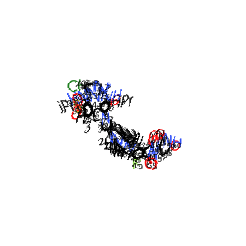 [2H]C1([2H])N(CC2CCN(c3cc(OC(C)C)c(Nc4ncc(Cl)c(Nc5ccccc5S(=O)(=O)C(C)C)n4)cc3C)CC2)C([2H])([2H])C([2H])([2H])N(c2cc(F)c3c(c2)C(=O)N(C2CCC(=O)NC2=O)C3=O)C1([2H])[2H]